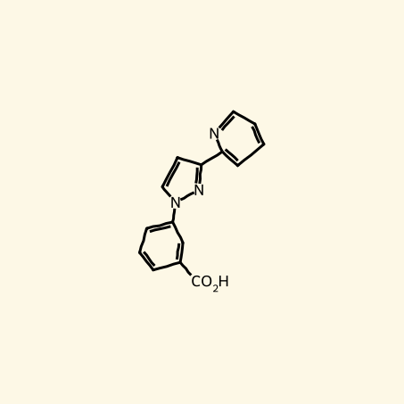 O=C(O)c1cccc(-n2ccc(-c3ccccn3)n2)c1